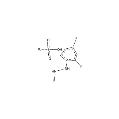 FNNc1ccc(F)cc1F.O=S(=O)(O)O